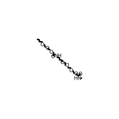 CCCCOCCOCCOCC(=O)NCCCCOCCOCCOCCOCC(=O)NC